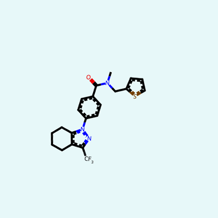 CN(Cc1cccs1)C(=O)c1ccc(-n2nc(C(F)(F)F)c3c2CCCC3)cc1